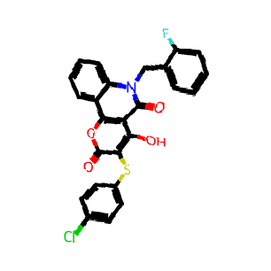 O=c1oc2c(c(O)c1Sc1ccc(Cl)cc1)c(=O)n(Cc1ccccc1F)c1ccccc21